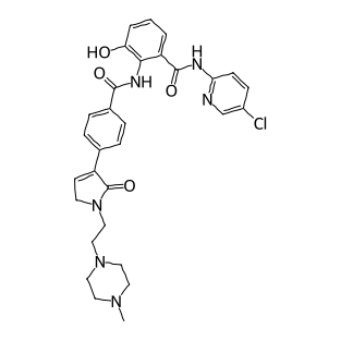 CN1CCN(CCN2CC=C(c3ccc(C(=O)Nc4c(O)cccc4C(=O)Nc4ccc(Cl)cn4)cc3)C2=O)CC1